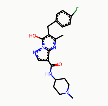 Cc1nc2c(C(=O)NC3CCN(C)CC3)cnn2c(O)c1Cc1ccc(F)cc1